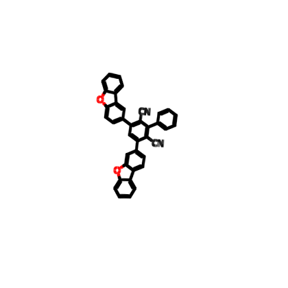 N#Cc1c(-c2ccc3c(c2)oc2ccccc23)cc(-c2ccc3oc4ccccc4c3c2)c(C#N)c1-c1ccccc1